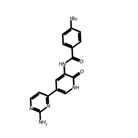 CC(C)(C)c1ccc(C(=O)Nc2cc(-c3ccnc(N)n3)c[nH]c2=O)cc1